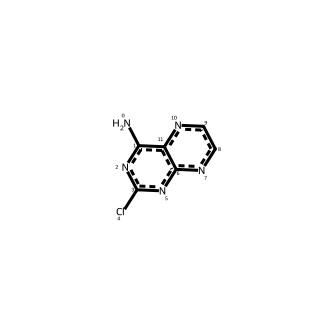 Nc1nc(Cl)nc2nccnc12